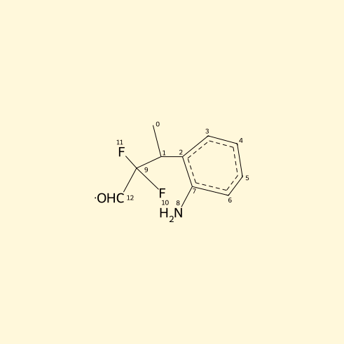 CC(c1ccccc1N)C(F)(F)[C]=O